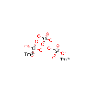 [O]=[Cr](=[O])([O-])[O-].[O]=[Cr](=[O])([O-])[O-].[O]=[Cr](=[O])([O-])[O-].[Tm+3].[Tm+3]